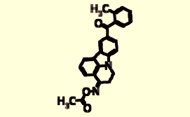 CC(=O)O/N=C1/CCn2c3ccc(C(=O)c4ccccc4C)cc3c3cccc1c32